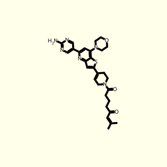 CC(C)=CC(=O)CCCC(=O)N1CC=C(c2cc3nc(-c4cnc(N)nc4)cc(N4CCOCC4)c3s2)CC1